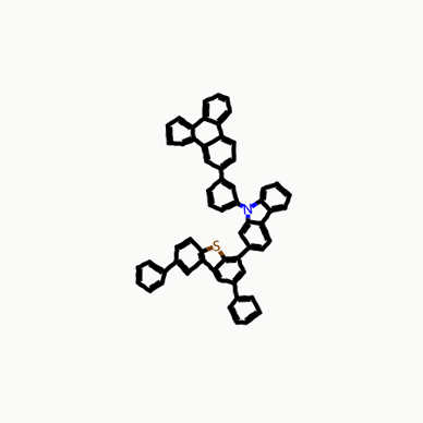 c1ccc(-c2ccc3sc4c(-c5ccc6c7ccccc7n(-c7cccc(-c8ccc9c%10ccccc%10c%10ccccc%10c9c8)c7)c6c5)cc(-c5ccccc5)cc4c3c2)cc1